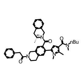 CCCCN(C)C(=O)c1cc(-c2cc3c(cc2C(=O)N2Cc4ccccc4C[C@H]2C)CN(C(=O)Cc2ccccc2)CC3)n(C)c1C